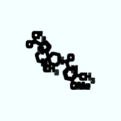 COc1ccc(C(=O)N2CCC3(CC2)c2ccc(C(=O)C(F)(F)F)n2CCN3C)nc1C